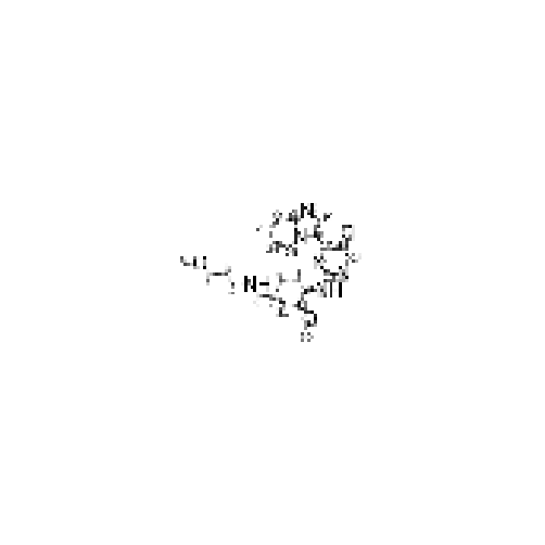 COCCCNCc1ccc(Nc2ncc(Cl)c(-c3cnc4ccccn34)n2)c(OC)c1